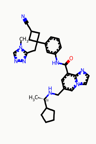 C[C@H](NCc1cc(C(=O)Nc2cccc(C3(Cc4nncn4C)CC(C#N)C3)c2)c2nccn2c1)C1CCCC1